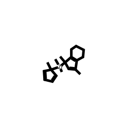 CC1=C[C](C)([Zr]([CH3])([CH3])[C]2(C)C=CC=C2)C2=C1CCCC2